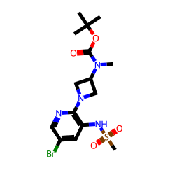 CN(C(=O)OC(C)(C)C)C1CN(c2ncc(Br)cc2NS(C)(=O)=O)C1